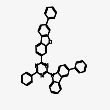 c1ccc(-c2ccc3c(c2)oc2cc(-c4nc(-c5ccccc5)nc(-n5c6ccccc6c6cc(-c7ccccc7)ccc65)n4)ccc23)cc1